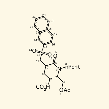 CCCCCN(CCOC(C)=O)C(=O)C(CCC(=O)O)CS(=O)(=O)c1ccc2ccccc2c1